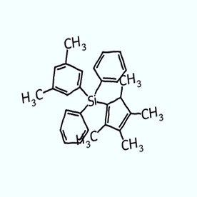 CC1=C(C)C(C)C([Si](c2ccccc2)(c2ccccc2)c2cc(C)cc(C)c2)=C1C